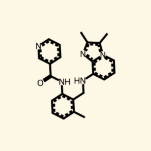 Cc1cccc(NC(=O)c2cccnc2)c1CNc1cccn2c(C)c(C)nc12